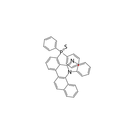 S=P(c1ccccc1)(c1ccccc1)c1cccc2c3ccc4ccccc4c3n3c4ccccc4nc3c12